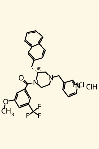 COc1cc(C(=O)N2CCN(Cc3cccnc3)C[C@H]2Cc2ccc3ccccc3c2)cc(C(F)(F)F)c1.Cl.Cl